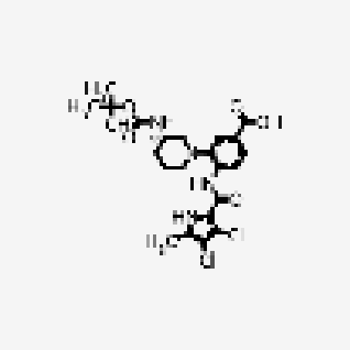 Cc1[nH]c(C(=O)Nc2ccc(C(=O)O)cc2N2CCC[C@H](NC(=O)OC(C)(C)C)C2)c(Cl)c1Cl